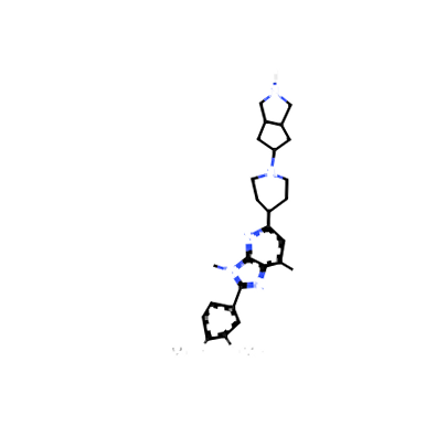 COc1ccc(-c2nc3c(C)cc(C4CCN(C5CC6CN(C(C)C)CC6C5)CC4)nc3n2C)cc1OC